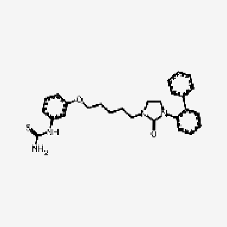 NC(=S)Nc1cccc(OCCCCCN2CCN(c3ccccc3-c3ccccc3)C2=O)c1